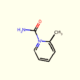 Cc1cccc[n+]1C(N)=O